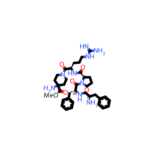 COC(=O)C1(N)CCN(C(=O)[C@@H](CCCNC(=N)N)NC(=O)[C@H]2CCCN2C(=O)[C@@H](Cc2ccccc2)NC(=O)[C@H](N)Cc2ccccc2)CC1